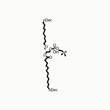 CCCCCCCCCCCCCCCCCCCCCC(=O)O[C@H](COCCCCCCCCCCCCCCCCCCC)COP(=O)(O)OCC[N+](C)(C)C